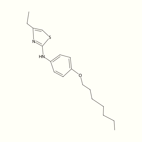 CCCCCCCOc1ccc(Nc2nc(CC)cs2)cc1